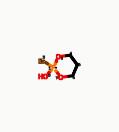 O[P]1(Br)OCCCO1